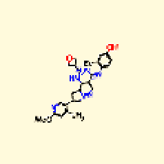 CCc1cc(O)ccc1/N=C(\N)c1cnn2cc(-c3cnc(OC)cc3C)cc2c1NCC1COC1